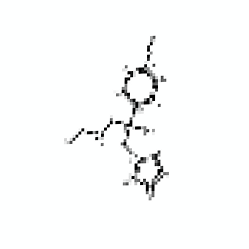 CCOCC(F)(Cn1ccnn1)c1ccc(Cl)cc1